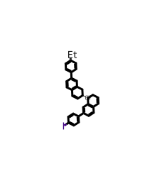 CCc1ccc(-c2ccc3c(c2)CC([C@@H]2CC=Cc4ccc(-c5ccc(I)cc5)cc42)C=C3)cc1